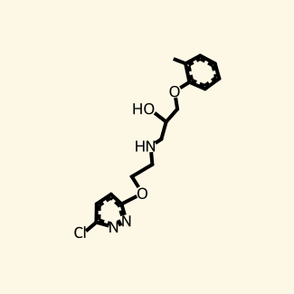 Cc1ccccc1OCC(O)CNCCOc1ccc(Cl)nn1